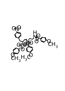 COc1ccc(S(=O)(=O)NCCN(CC(Cc2ccc([N+](=O)[O-])cc2)NS(=O)(=O)c2ccc(OC)cc2)S(=O)(=O)c2ccc(OC)cc2)cc1